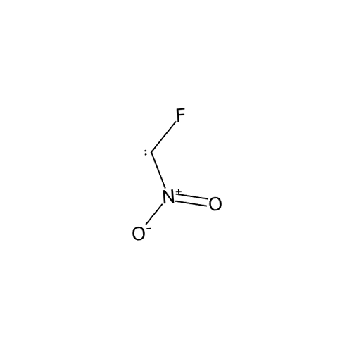 O=[N+]([O-])[C]F